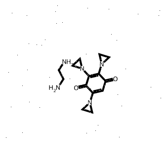 NCCN.O=C1C=C(N2CC2)C(=O)C(N2CC2)=C1N1CC1